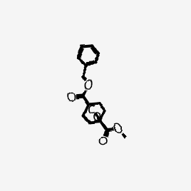 COC(=O)C12CCC(C(=O)OCc3ccccc3)(CC1)CO2